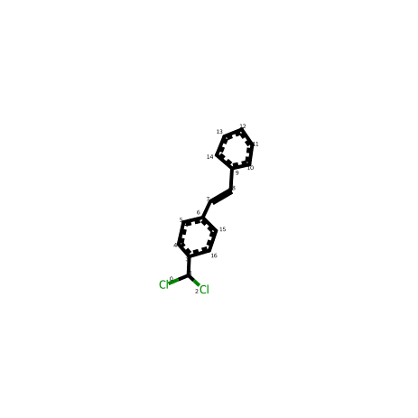 ClC(Cl)c1ccc(C=Cc2ccccc2)cc1